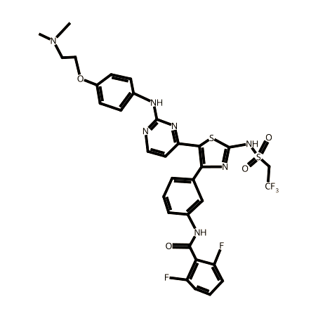 CN(C)CCOc1ccc(Nc2nccc(-c3sc(NS(=O)(=O)CC(F)(F)F)nc3-c3cccc(NC(=O)c4c(F)cccc4F)c3)n2)cc1